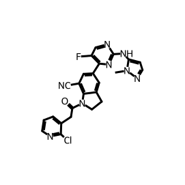 Cn1nccc1Nc1ncc(F)c(-c2cc(C#N)c3c(c2)CCN3C(=O)Cc2cccnc2Cl)n1